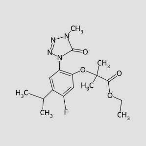 CCOC(=O)C(C)(C)Oc1cc(F)c(C(C)C)cc1-n1nnn(C)c1=O